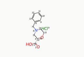 Cl.O=C(O)[C@@H]1CN(Cc2ccccc2)CCO1